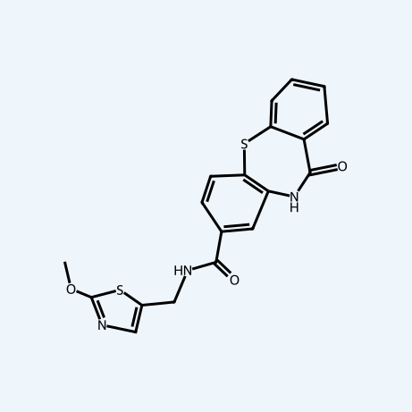 COc1ncc(CNC(=O)c2ccc3c(c2)NC(=O)c2ccccc2S3)s1